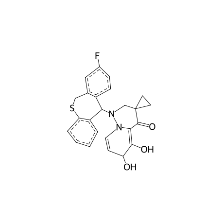 O=C1C2=C(O)C(O)C=CN2N(C2c3ccc(F)cc3CSc3ccccc32)CC12CC2